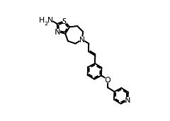 Nc1nc2c(s1)CCN(C/C=C/c1cccc(OCc3ccncc3)c1)CC2